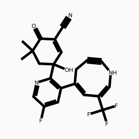 CC1(C)CC(O)(c2ncc(F)cc2/C2=C/C(C(F)(F)F)=C\NC#CC2)C=C(C#N)C1=O